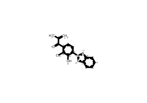 C=C(C)C(=O)c1ccc(-n2nc3ccccc3n2)c(O)c1Cl